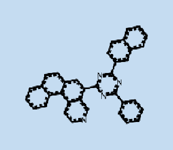 c1ccc(-c2nc(-c3ccc4ccccc4c3)nc(-c3cc4ccc5ccccc5c4c4ccncc34)n2)cc1